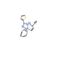 C#Cc1ccc2nnc(-c3cccs3)n2n1.c1ccccc1